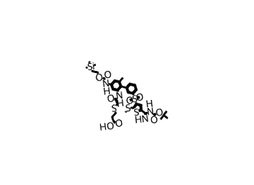 CSc1sc(C(=N)NC(=O)OC(C)(C)C)cc1S(=O)(=O)c1cccc(-c2c(C)cc(NC(=O)OCC[Si](C)(C)C)cc2NC(=O)CSCCC(=O)O)c1